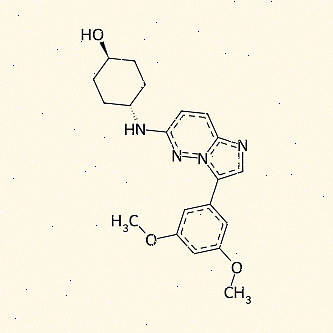 COc1cc(OC)cc(-c2cnc3ccc(N[C@H]4CC[C@H](O)CC4)nn23)c1